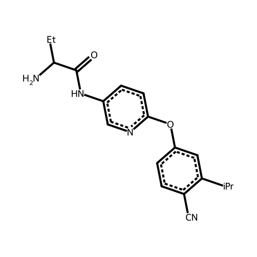 CCC(N)C(=O)Nc1ccc(Oc2ccc(C#N)c(C(C)C)c2)nc1